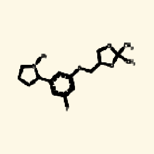 CC(C)N1CCCC1c1cc(F)cc(OCC2COC(C)(C)O2)c1